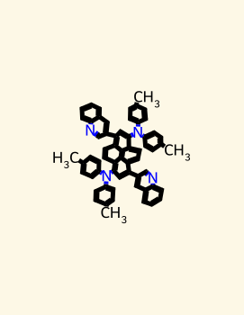 Cc1ccc(N(c2ccc(C)cc2)c2cc(-c3cnc4ccccc4c3)c3ccc4c(N(c5ccc(C)cc5)c5ccc(C)cc5)cc(-c5cnc6ccccc6c5)c5ccc2c3c54)cc1